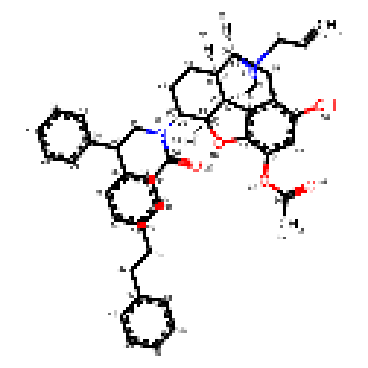 C=CCN1CC[C@]23c4c5c(O)cc(OC(C)=O)c4O[C@H]2[C@H](N(CC(c2ccccc2)c2ccccc2)C(=O)CCCCCc2ccccc2)CC[C@H]3[C@H]1C5